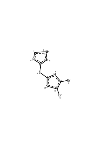 Brc1nc(Sc2nc[nH]n2)sc1Br